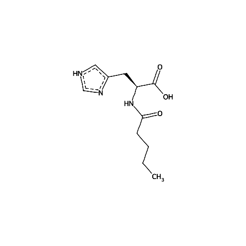 CCCCC(=O)N[C@@H](Cc1c[nH]cn1)C(=O)O